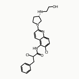 O=C(Nc1c(Cl)ccc2nc(N3CC[C@H](NCCO)C3)ccc12)C(Cl)Cc1ccccc1